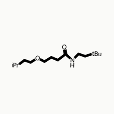 CC(C)CCOCCCC(=O)NCCC(C)(C)C